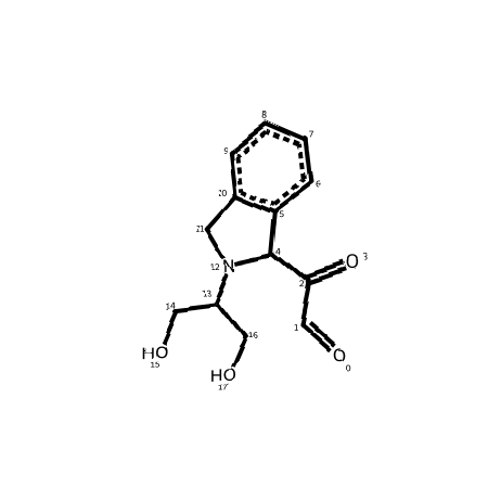 O=CC(=O)C1c2ccccc2CN1C(CO)CO